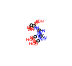 Cc1c(C#N)c(Nc2ccc(S(=O)(=O)O)cc2)nc(Nc2ccc(S(=O)(=O)O)cc2)c1/N=N/c1sc(/N=N/c2cc(SOOO)c3cccc(S(=O)(=O)O)c3c2)cc1C#N